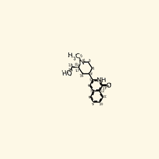 CN1CCC(c2cc3ccccc3c(=O)[nH]2)C[C@H]1CO